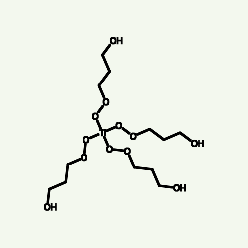 OCCCO[O][Ti]([O]OCCCO)([O]OCCCO)[O]OCCCO